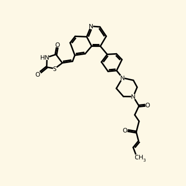 CC=CC(=O)CCC(=O)N1CCN(c2ccc(-c3ccnc4ccc(C=C5SC(=O)NC5=O)cc34)cc2)CC1